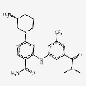 CN(C)C(=O)c1cc(Nc2nc(N3CCC[C@H](N)C3)ncc2C(N)=O)cc(C(F)(F)F)c1